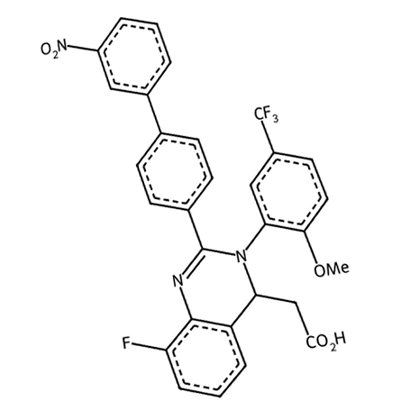 COc1ccc(C(F)(F)F)cc1N1C(c2ccc(-c3cccc([N+](=O)[O-])c3)cc2)=Nc2c(F)cccc2C1CC(=O)O